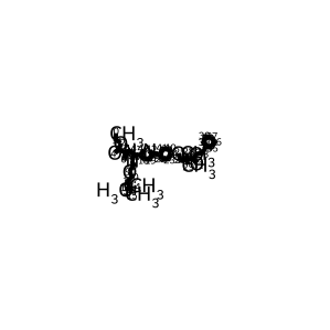 CCOC(=O)c1cn(COCC[Si](C)(C)C)c(-c2ccc(-c3ccc(OCC(C)(C)C(=O)OCc4ccccc4)cc3)nc2)n1